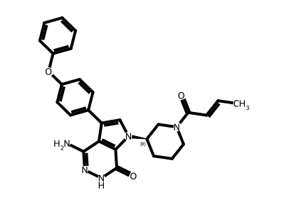 CC=CC(=O)N1CCC[C@@H](n2cc(-c3ccc(Oc4ccccc4)cc3)c3c(N)n[nH]c(=O)c32)C1